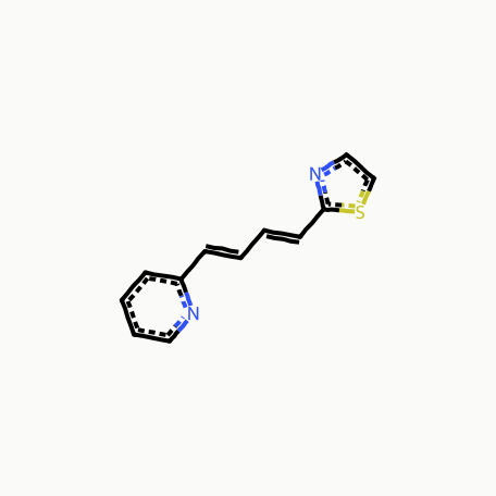 C(C=Cc1nccs1)=Cc1ccccn1